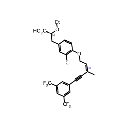 CCO[C@@H](Cc1ccc(OC/C=C(/C)C#Cc2cc(C(F)(F)F)cc(C(F)(F)F)c2)c(Cl)c1)C(=O)O